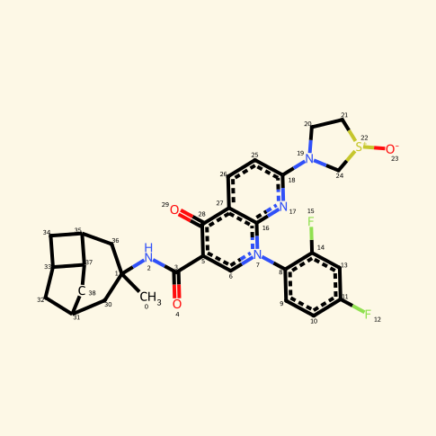 CC1(NC(=O)c2cn(-c3ccc(F)cc3F)c3nc(N4CC[S+]([O-])C4)ccc3c2=O)CC2CC3CC(C1)C3C2